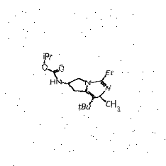 CCC1=N[C@@H](C)C(C(C)(C)C)=C2C[C@@H](NC(=O)OC(C)C)CN12